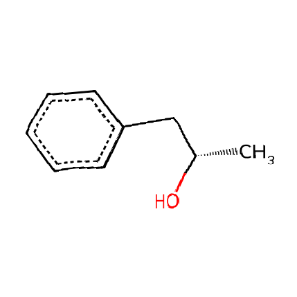 C[C@H](O)Cc1ccccc1